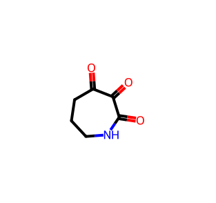 O=C1CCCNC(=O)C1=O